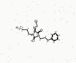 CCCCN1C(=O)N(CCCc2ccccc2)C(=O)C1=NSCl